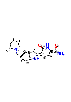 C[C@@H]1CCCCN1Cc1ccc2[nH]c(-c3c[c]c(C(N)=O)[nH]c3=O)cc2c1